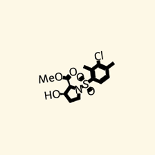 COC(=O)[C@@H]1[C@H](O)CCN1S(=O)(=O)c1ccc(C)c(Cl)c1C